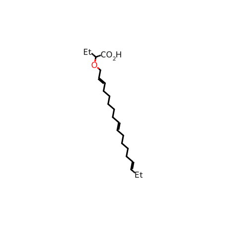 CCC=CCCCCC=CCCCCCC=CCOC(CC)C(=O)O